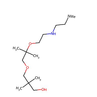 CNCCNCCOC(C)(C)COCC(C)(C)CO